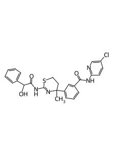 CC1(c2cccc(C(=O)Nc3ccc(Cl)cn3)c2)CCSC(NC(=O)C(O)c2ccccc2)=N1